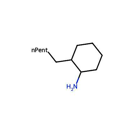 CCCCCCC1CCCCC1N